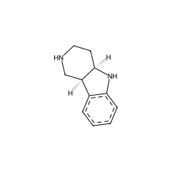 c1ccc2c(c1)N[C@@H]1CCNC[C@H]21